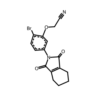 N#CCOc1cc(N2C(=O)C3=C(CCCC3)C2=O)ccc1Br